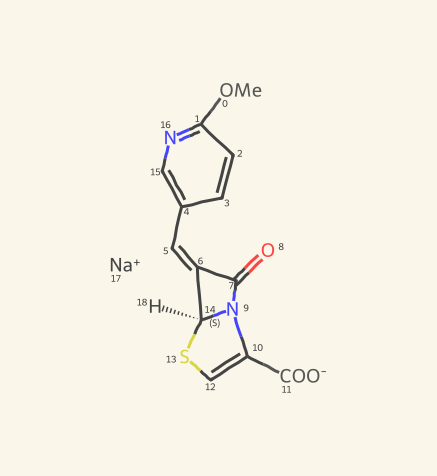 COc1ccc(C=C2C(=O)N3C(C(=O)[O-])=CS[C@@H]23)cn1.[Na+]